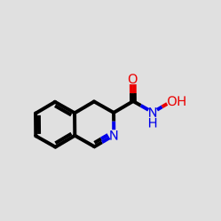 O=C(NO)C1Cc2ccccc2C=N1